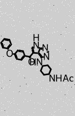 CC(=O)NC1CCC(Nc2ncnc3[nH]cc(C(=O)c4ccc(Oc5ccccc5)cc4)c23)CC1